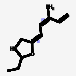 B/C(C=C)=C/C=C1\CNC(CC)O1